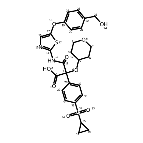 O=C(O)C(OC1CCOCC1)(C(=O)Nc1ncc(Oc2ccc(CO)cc2)s1)c1ccc(S(=O)(=O)C2CC2)cc1